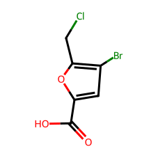 O=C(O)c1cc(Br)c(CCl)o1